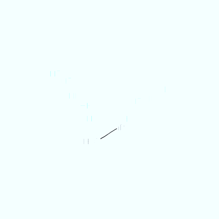 CC(C)C.F.F.F.F.F.F.F.F.F